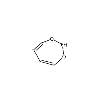 [c]1cco[pH]oc1